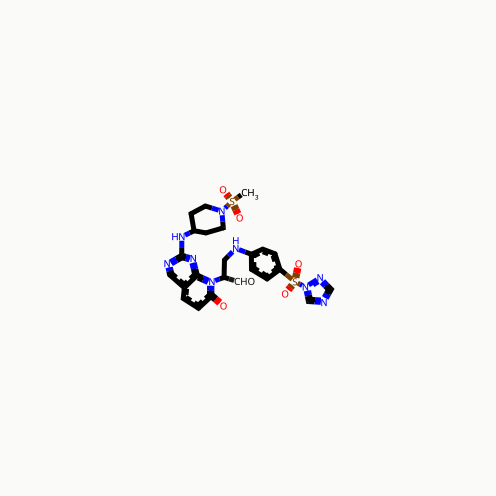 CS(=O)(=O)N1CCC(Nc2ncc3ccc(=O)n(C(C=O)CNc4ccc(S(=O)(=O)n5cncn5)cc4)c3n2)CC1